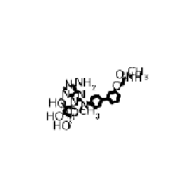 CNC(=O)COc1cccc(-c2ccc(N(C)c3nc4c(N)ncnc4n3[C@@H]3O[C@H](CO)[C@@H](O)[C@H]3O)cc2)c1